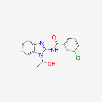 CC(O)n1c(NC(=O)c2cccc(Cl)c2)nc2ccccc21